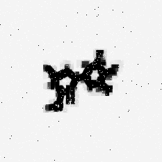 COC1=NC(C)=[C]C(c2cc(F)c(F)c(F)c2)N1